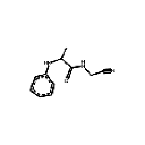 CC(Nc1ccccc1)C(=O)NCC#N